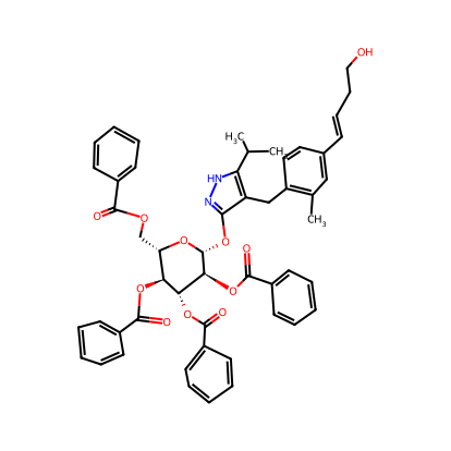 Cc1cc(/C=C/CCO)ccc1Cc1c(O[C@H]2O[C@@H](COC(=O)c3ccccc3)[C@H](OC(=O)c3ccccc3)[C@@H](OC(=O)c3ccccc3)[C@@H]2OC(=O)c2ccccc2)n[nH]c1C(C)C